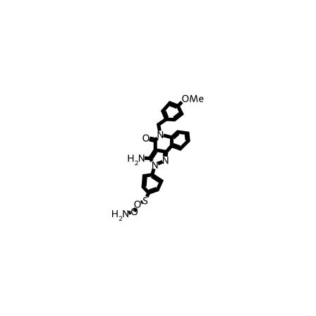 COc1ccc(Cn2c(=O)c3c(N)n(-c4ccc(SOON)cc4)nc3c3ccccc32)cc1